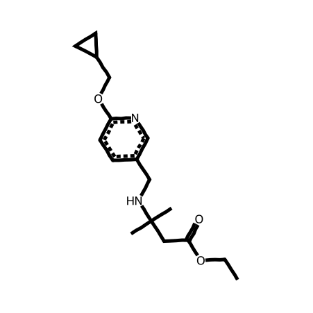 CCOC(=O)CC(C)(C)NCc1ccc(OCC2CC2)nc1